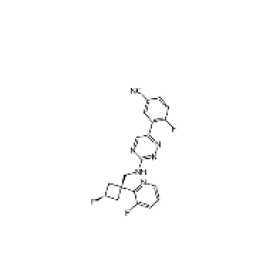 N#Cc1ccc(F)c(-c2cnc(NC[C@]3(c4ncccc4F)C[C@H](F)C3)nn2)c1